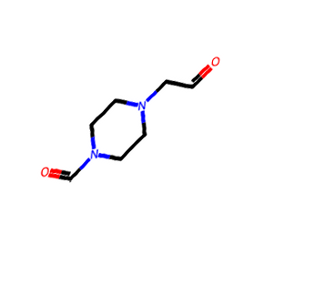 O=[C]N1CCN(CC=O)CC1